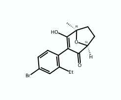 CCc1cc(Br)ccc1C1=C(O)[C@@]2(C)CC[C@H](O2)C1=O